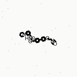 O=S(=O)(Cc1ccc(-c2ccc(OCCN3CCOCC3)cc2)cc1)NCc1cccc(N2CCCCC2)c1